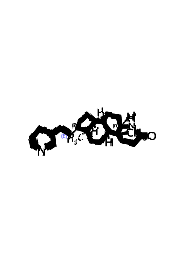 C[C@]12C=CC(=O)N[C@@H]1CC[C@@H]1[C@@H]2CC[C@]2(C)[C@@H](/C=C/c3cccnc3)CC[C@@H]12